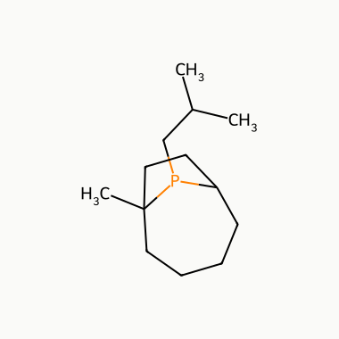 CC(C)CP1C2CCCCC1(C)CC2